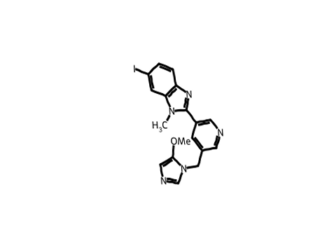 COc1cncn1Cc1cncc(-c2nc3ccc(I)cc3n2C)c1